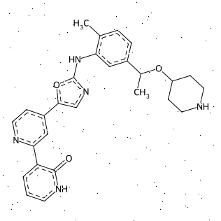 Cc1ccc(C(C)OC2CCNCC2)cc1Nc1ncc(-c2ccnc(-c3ccc[nH]c3=O)c2)o1